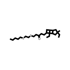 CCCCCSCCSCCC(=O)CCC1CC2C3CC(C)(CC)CC3C12CC